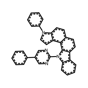 c1ccc(-c2cnc(-n3c4ccccc4c4ccc5ccc6c(ccn6-c6ccccc6)c5c43)nc2)cc1